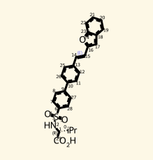 CC(C)[C@@H](NS(=O)(=O)c1ccc(-c2ccc(/C=C/c3cc4ccccc4o3)cc2)cc1)C(=O)O